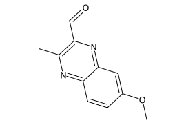 COc1ccc2nc(C)c(C=O)nc2c1